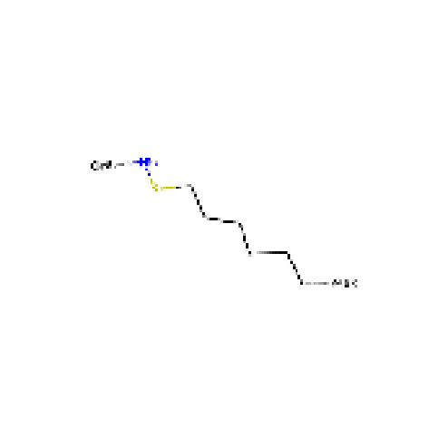 CCCCCCCCCCCCSNC=O